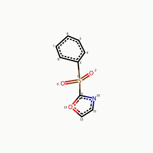 O=S(=O)(c1ccccc1)c1ncco1